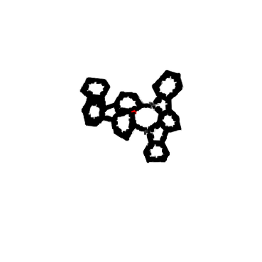 c1ccc(-c2ccc(-n3c4ccccc4c4ccc5c6ccccc6n(-c6ccc(-c7cccc8ccccc78)cc6)c5c43)cc2)cc1